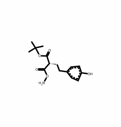 CC(C)(C)OC(=O)[C@H](CCc1ccc(O)cc1)C(=O)ON